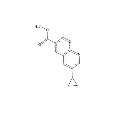 COC(=O)c1ccc2ncc(C3CC3)cc2c1